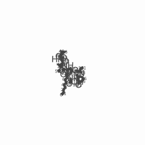 C=CCCCCCC(NC(=O)O)C(=O)N1C[C@H](Oc2nc3cc(OC)ccc3nc2CC)C[C@H]1C(=O)N[C@]1(C(=O)NS(=O)(=O)C2CC2)C[C@H]1C=C